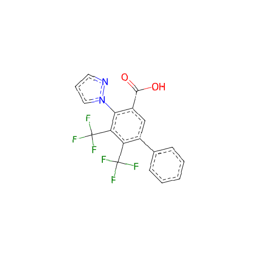 O=C(O)c1cc(-c2ccccc2)c(C(F)(F)F)c(C(F)(F)F)c1-n1cccn1